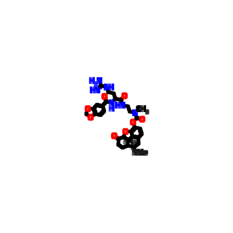 CC[C@]12c3c4ccc(OC(=O)N(C)CCNC(=O)C(CCNC(=N)N)NC(=O)c5ccc6c(c5)OCO6)c3OC1C(=O)CCC2[C@H](NC)C4